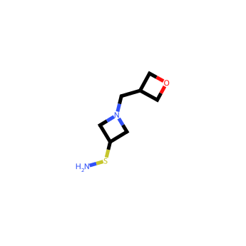 NSC1CN(CC2COC2)C1